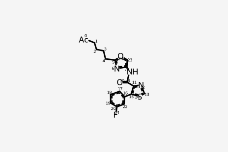 CC(=O)CCCCc1nc(NC(=O)c2ncsc2-c2cccc(F)c2)co1